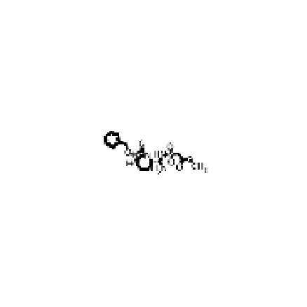 COC(=O)CS(=O)(=O)NC(N)[C@@H]1CC[C@@H]2CN1C(=O)N2OCc1ccccc1